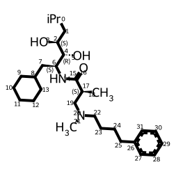 CC(C)C[C@H](O)[C@H](O)[C@H](CC1CCCCC1)NC(=O)[C@@H](C)CN(C)CCCCc1ccccc1